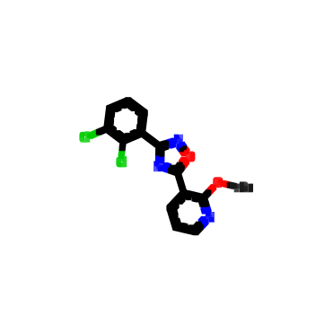 CCCCOc1ncccc1-c1nc(-c2cccc(Cl)c2Cl)no1